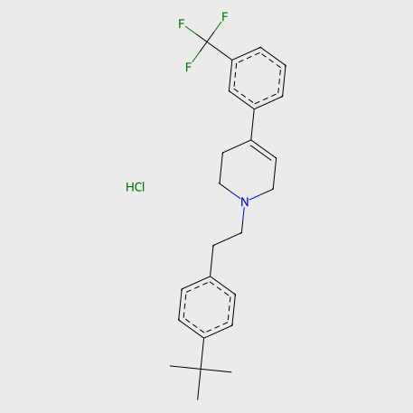 CC(C)(C)c1ccc(CCN2CC=C(c3cccc(C(F)(F)F)c3)CC2)cc1.Cl